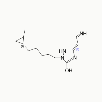 CC1C[C@H]1CCCCCN1N/C(=C\C=N)N=C1O